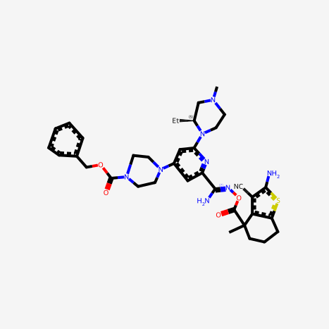 CC[C@H]1CN(C)CCN1c1cc(N2CCN(C(=O)OCc3ccccc3)CC2)cc(/C(N)=N/OC(=O)C2(C)CCCc3sc(N)c(C#N)c32)n1